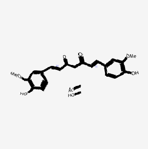 CC(C)=O.CO.COc1cc(/C=C/C(=O)CC(=O)/C=C/c2ccc(O)c(OC)c2)ccc1O